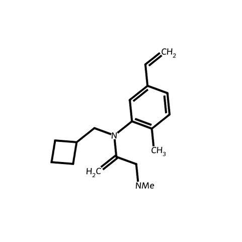 C=Cc1ccc(C)c(N(CC2CCC2)C(=C)CNC)c1